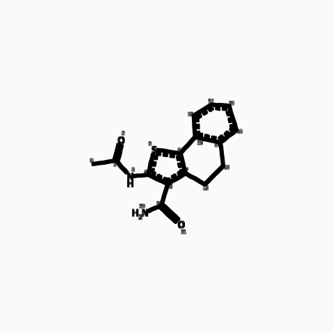 CC(=O)Nc1sc2c(c1C(N)=O)CCc1ccccc1-2